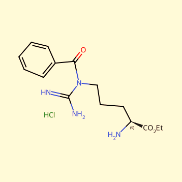 CCOC(=O)[C@@H](N)CCCN(C(=N)N)C(=O)c1ccccc1.Cl